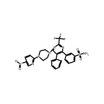 NS(=O)(=O)c1cccc(-c2nc(C(F)(F)F)nc(N3CCN(c4ccc([N+](=O)[O-])cn4)CC3)c2-c2ccccc2)c1